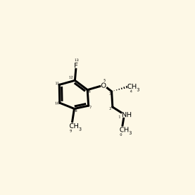 CNC[C@@H](C)Oc1cc(C)ccc1F